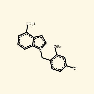 CC(C)COc1cc(Cl)ccc1Cn1ccc2c(C(=O)O)cccc21